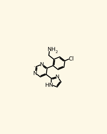 NCc1cc(Cl)ccc1-c1n[c]ncc1-c1ncc[nH]1